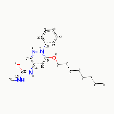 CCCCCCCCOc1cc(=NC(=O)NC)cnn1-c1ccccc1